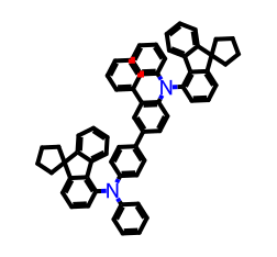 c1ccc(-c2cc(-c3ccc(N(c4ccccc4)c4cccc5c4-c4ccccc4C54CCCC4)cc3)ccc2N(c2ccccc2)c2cccc3c2-c2ccccc2C32CCCC2)cc1